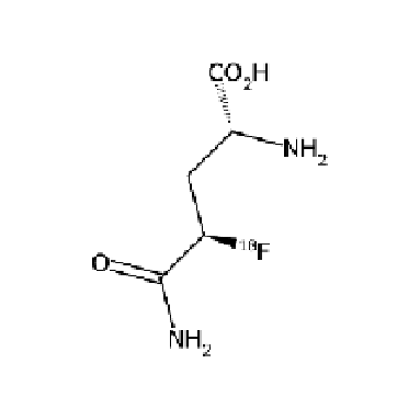 NC(=O)[C@H]([18F])C[C@@H](N)C(=O)O